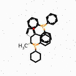 C[C@H]([C@@H]1C=CC=C1c1ccccc1P(c1ccccc1)c1ccccc1)P(C1CCCCC1)C1CCCCC1